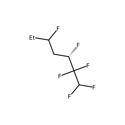 [CH2]CC(F)C[C@H](F)C(F)(F)C(F)F